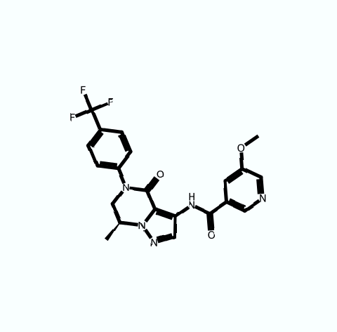 COc1cncc(C(=O)Nc2cnn3c2C(=O)N(c2ccc(C(F)(F)F)cc2)C[C@@H]3C)c1